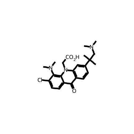 CN(C)CC(C)(C)c1ccc2c(=O)c3ccc(Cl)c(N(C)C)c3n(CC(=O)O)c2c1